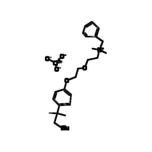 CC(C)(C)CC(C)(C)c1ccc(OCCOCC[N+](C)(C)Cc2ccccc2)cc1.[O-][Cl+2]([O-])[O-]